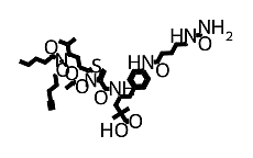 C#CCCCON(C(=O)CCCC)C(CC(OC(C)=O)c1nc(C(=O)NC(Cc2ccc(NC(=O)CCCCNC(N)=O)cc2)CC(C)(C)C(=O)O)cs1)C(C)C